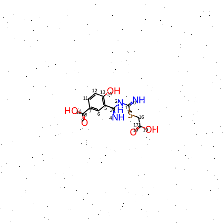 N=C(NC(=N)c1cc(C(=O)O)ccc1O)SCC(=O)O